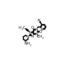 CC#Cn1c(N2CCC[C@@H](N)C2)nc2c1c(=O)n(Cc1ncccc1C#N)c(=O)n2C